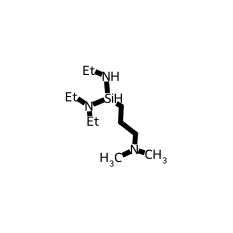 CCN[SiH](CCCN(C)C)N(CC)CC